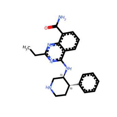 CCc1nc(N[C@@H]2CNCC[C@H]2c2ccccc2)c2cccc(C(N)=O)c2n1